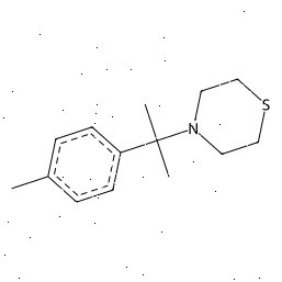 Cc1ccc(C(C)(C)N2CCSCC2)cc1